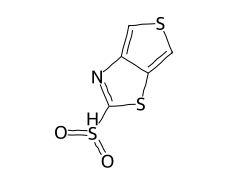 O=[SH](=O)c1nc2cscc2s1